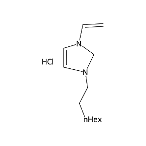 C=CN1C=CN(CCCCCCCC)C1.Cl